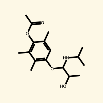 CC(=O)Oc1c(C)cc(OC(NC(C)C)C(C)O)c(C)c1C